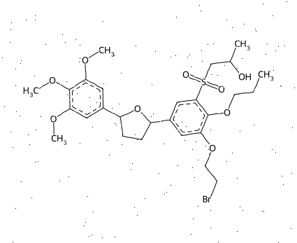 CCCOc1c(OCCBr)cc(C2CCC(c3cc(OC)c(OC)c(OC)c3)O2)cc1S(=O)(=O)CC(C)O